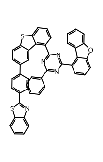 c1ccc(-c2nc(-c3cccc4oc5ccccc5c34)nc(-c3cccc4sc5ccc(-c6ccc(-c7nc8ccccc8s7)cc6)cc5c34)n2)cc1